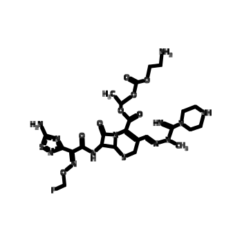 CC(OC(=O)OCCN)OC(=O)C1=C(C=NN(C)C(=N)N2CCNCC2)CSC2C(NC(=O)C(=NOCF)c3nsc(N)n3)C(=O)N12